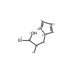 CCC(O)C(C)Cn1cncn1